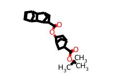 CC(C)(C)OC(=O)C1CC2CC1CC2OC(=O)C1CC2CC1C1C3C=CC(C3)C21